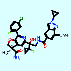 COc1cc(C(=O)NCC(O)(c2cc3c(c(-c4cc(Cl)ccc4F)n2)OC[C@]3(C)C(N)=O)C2(F)CC2)cc2cn(C3CC3)nc12